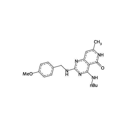 CCCCNc1nc(NCc2ccc(OC)cc2)nc2cc(C)[nH]c(=O)c12